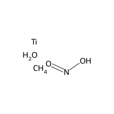 C.O.O=NO.[Ti]